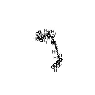 CC[C@@H]1C(O)N(C)c2cnc(Nc3ccc(C(=O)NCc4cn(CCOCCNCCC(=O)Nc5cccc6c5CN(C5CCC(=O)NC5=O)C6=O)nn4)cc3OC)nc2N1C1CCCC1